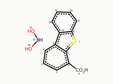 O=C(O)c1cccc2c1sc1ccccc12.OBO